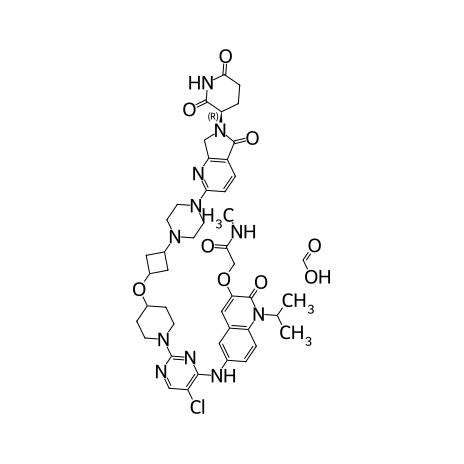 CNC(=O)COc1cc2cc(Nc3nc(N4CCC(OC5CC(N6CCN(c7ccc8c(n7)CN([C@@H]7CCC(=O)NC7=O)C8=O)CC6)C5)CC4)ncc3Cl)ccc2n(C(C)C)c1=O.O=CO